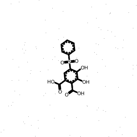 O=C(O)c1cc(S(=O)(=O)c2ccccc2)c(O)c(O)c1C(=O)O